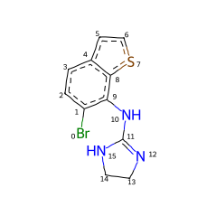 Brc1ccc2ccsc2c1NC1=NCCN1